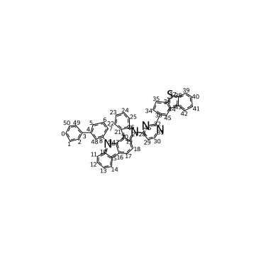 c1ccc(-c2cccc(-n3c4ccccc4c4ccc5c(c6ccccc6n5-c5ccnc(-c6ccc7sc8ccccc8c7c6)n5)c43)c2)cc1